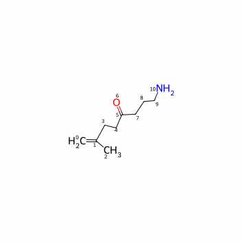 C=C(C)CCC(=O)CCCN